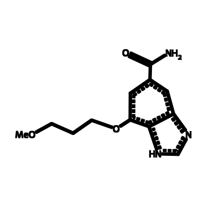 COCCCOc1cc(C(N)=O)cc2nc[nH]c12